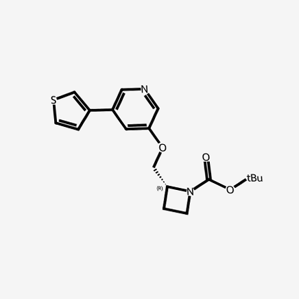 CC(C)(C)OC(=O)N1CC[C@@H]1COc1cncc(-c2ccsc2)c1